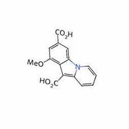 COc1cc(C(=O)O)cc2c1c(C(=O)O)c1ccccn12